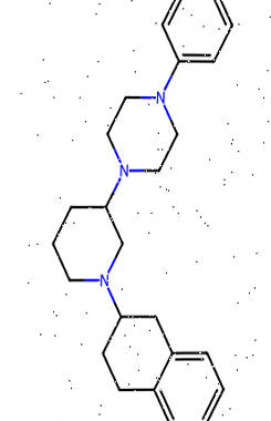 c1ccc(N2CCN(C3CCCN(C4CCc5ccccc5C4)C3)CC2)cc1